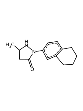 CC1CC(=O)N(c2ccc3c(c2)CCCC3)N1